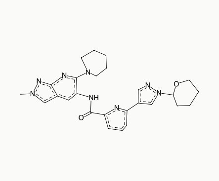 Cn1cc2cc(NC(=O)c3cccc(-c4cnn(C5CCCCO5)c4)n3)c(N3CCCCC3)nc2n1